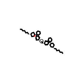 CCCCCCC[C@H]1CC[C@H](C2([C@]3(C)C=C[C@@H](COC[C@H]4C=C[C@](C)(C5([C@H]6CC[C@H](CCCCCCC)CC6)CCCCC5)C=C4)C=C3)CCCCC2)CC1